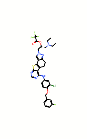 CCN(CC)C[C@H](Cn1cc2c(n1)CCc1c-2sc2ncnc(Nc3ccc(OCc4cccc(F)c4)c(Cl)c3)c12)OC(=O)C(F)(F)F